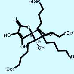 CCCCCCCCCCCCCCC(O)(CCCCCCCCCCCCCC)[C@@](O)(CCCCCCCCCCCCCC)[C@@]1(CCCCCCCCCCCCCC)OC(=O)C(O)=C1O